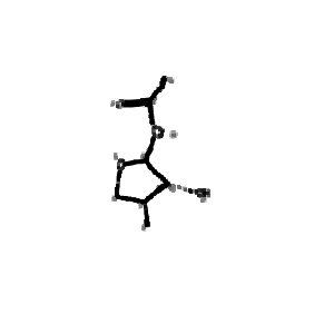 CC(=O)OC1OC[C@H](C)[C@H]1O